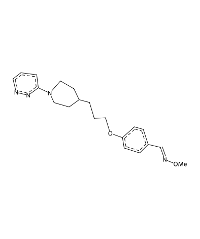 CON=Cc1ccc(OCCCC2CCN(c3cccnn3)CC2)cc1